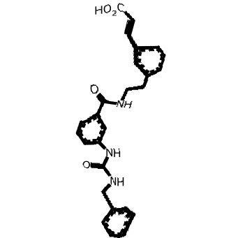 O=C(O)C=Cc1cccc(CCNC(=O)c2cccc(NC(=O)NCc3ccccc3)c2)c1